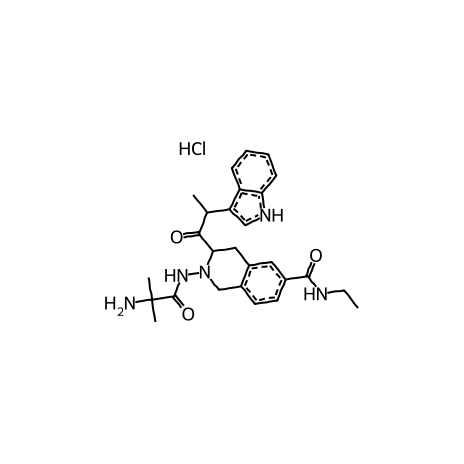 CCNC(=O)c1ccc2c(c1)CC(C(=O)C(C)c1c[nH]c3ccccc13)N(NC(=O)C(C)(C)N)C2.Cl